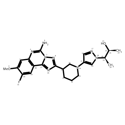 COc1cc2nc(N)n3nc(C4CCCN(c5cnn([C@H](C)[C@H](C)O)c5)C4)nc3c2cc1F